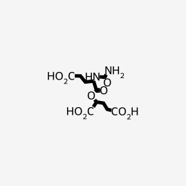 NC(=O)NC(CCC(=O)O)C(=O)OC(CCC(=O)O)C(=O)O